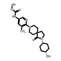 CCCOC(=O)Nc1cnc(N2CCC3(CC2)CCN([C@H]2CC[C@@H](O)CC2)C3=O)c(C)c1